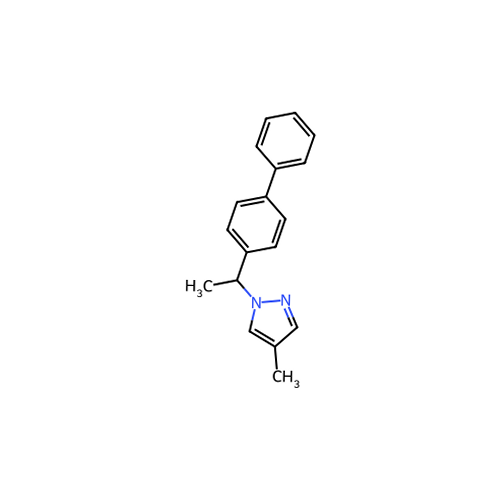 Cc1cnn(C(C)c2ccc(-c3ccccc3)cc2)c1